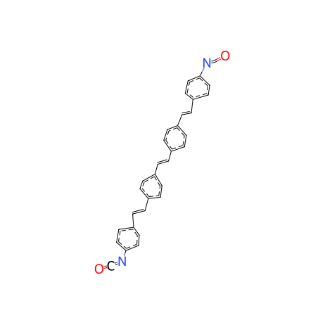 O=C=Nc1ccc(C=Cc2ccc(C=Cc3ccc(C=Cc4ccc(N=C=O)cc4)cc3)cc2)cc1